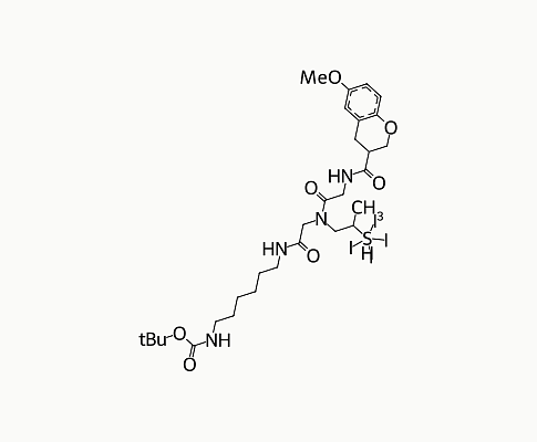 COc1ccc2c(c1)CC(C(=O)NCC(=O)N(CC(=O)NCCCCCCNC(=O)OC(C)(C)C)CC(C)[SH](I)(I)(I)I)CO2